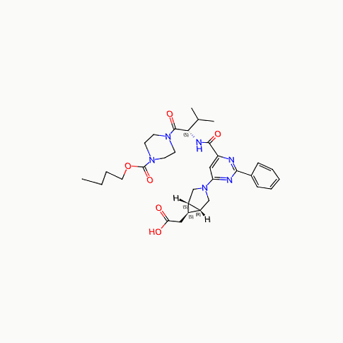 CCCCOC(=O)N1CCN(C(=O)[C@@H](NC(=O)c2cc(N3C[C@@H]4[C@@H](CC(=O)O)[C@@H]4C3)nc(-c3ccccc3)n2)C(C)C)CC1